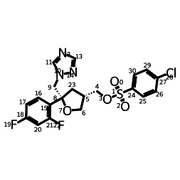 O=S(=O)(OC[C@@H]1CO[C@@](Cn2cncn2)(c2ccc(F)cc2F)C1)c1ccc(Cl)cc1